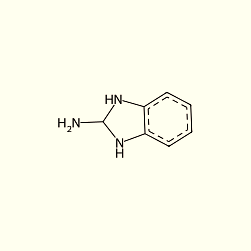 NC1Nc2ccccc2N1